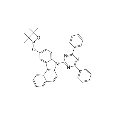 CC1(C)OP(Oc2ccc3c(c2)c2c4ccccc4ccc2n3-c2nc(-c3ccccc3)nc(-c3ccccc3)n2)C1(C)C